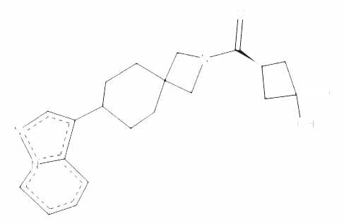 C[C@]1(O)C[C@@H](C(=O)N2CC3(CCC(c4cnn5ccccc45)CC3)C2)C1